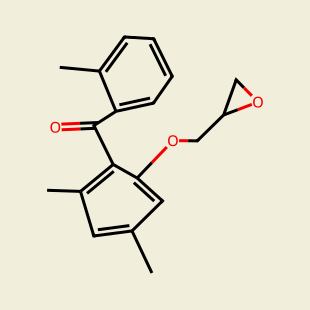 Cc1cc(C)c(C(=O)c2ccccc2C)c(OCC2CO2)c1